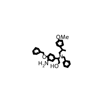 COc1ccc(C(C)CN(Cc2ccccc2)C(CO)c2ccc(OCc3ccccc3)c(N)c2)cc1